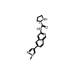 Cn1cc(-c2ccc3cnc(NC(=O)[C@H]4CCCN4)cc3c2)cn1